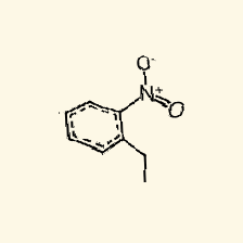 CCc1cc[c]cc1[N+](=O)[O-]